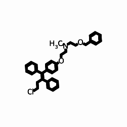 CN(CCOCc1ccccc1)CCOc1ccc(C(=C(CCCl)c2ccccc2)c2ccccc2)cc1